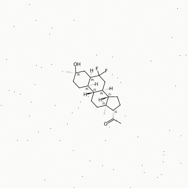 CC(=O)[C@H]1CC[C@H]2[C@@H]3CC(F)(F)[C@@H]4C[C@](C)(O)CC[C@@H]4[C@H]3CC[C@]12C